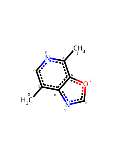 Cc1cnc(C)c2ocnc12